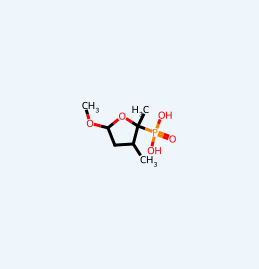 COC1CC(C)C(C)(P(=O)(O)O)O1